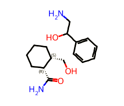 NC(=O)[C@@H]1CCCC[C@@H]1CO.NCC(O)c1ccccc1